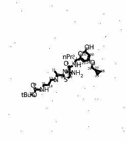 CCC[C@@H](NC(=O)[C@]1(N)CSC(/C(C)=N/CCCNC(=O)OC(C)(C)C)=N1)C1=CC(OCC2CC2)=CC(O)O1